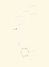 O=C(CON=Cc1ccc([N+](=O)[O-])c(CO)c1)N1CCN(CC2CCCCC2)CC1